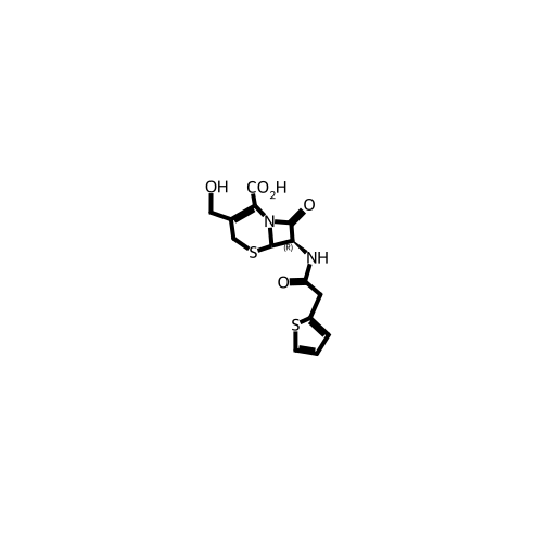 O=C(Cc1cccs1)N[C@@H]1C(=O)N2C(C(=O)O)=C(CO)CSC12